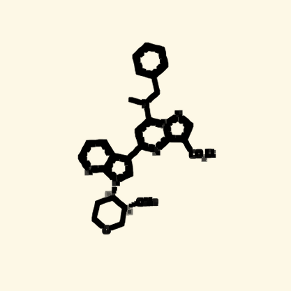 CCOC(=O)c1cnn2c(N(C)Cc3ccccc3)cc(-c3cn([C@H]4CCOC[C@H]4OC)c4ncccc34)nc12